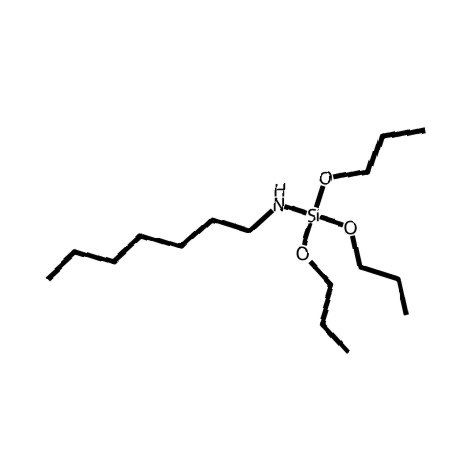 CCCCCCCN[Si](OCCC)(OCCC)OCCC